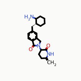 C=C1CCC(N2Cc3cc(C[C@H]4CCCCC4N)ccc3C2=O)C(=O)N1